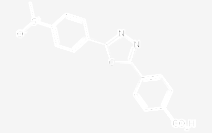 C[S+]([O-])c1ccc(-c2nnc(-c3ccc(C(=O)O)cc3)o2)cc1